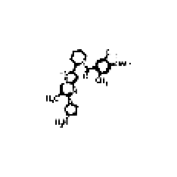 COc1cc(C)c(C(=O)N2CCCCC2C2C=C3N=C(N4CC[C@H](N)C4)C(C)=CN3N2)cc1C